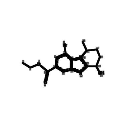 CCOC(=O)c1cc(Br)c2c(c1)nc1n2C(C)CCC1O